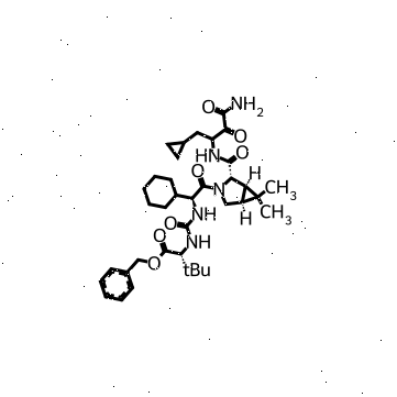 CC(C)(C)[C@@H](NC(=O)N[C@H](C(=O)N1C[C@H]2[C@@H]([C@H]1C(=O)NC(CC1CC1)C(=O)C(N)=O)C2(C)C)C1CCCCC1)C(=O)OCc1ccccc1